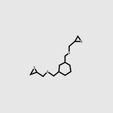 C1CC(CSCC2CS2)CC(CSCC2CS2)C1